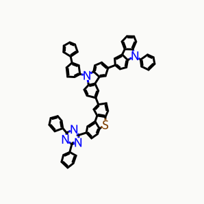 c1ccc(-c2cccc(-n3c4ccc(-c5ccc6sc7ccc(-c8nc(-c9ccccc9)nc(-c9ccccc9)n8)cc7c6c5)cc4c4cc(-c5ccc6c(c5)c5ccccc5n6-c5ccccc5)ccc43)c2)cc1